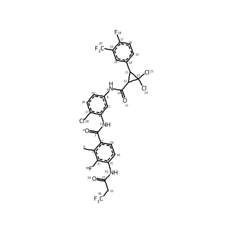 Cc1c(C(=O)Nc2cc(NC(=O)C3C(c4ccc(F)c(C(F)(F)F)c4)C3(Cl)Cl)ccc2Cl)ccc(NC(=O)CC(F)(F)F)c1F